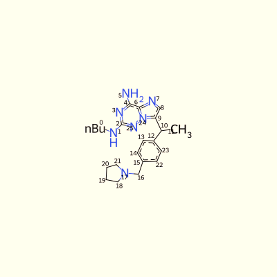 CCCCNc1nc(N)c2ncc(C(C)c3ccc(CN4CCCC4)cc3)n2n1